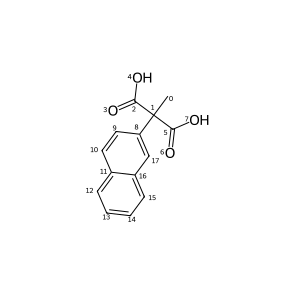 CC(C(=O)O)(C(=O)O)c1ccc2ccccc2c1